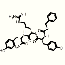 N=C(N)NCCC[C@H](NC(=O)[C@H](Cc1ccc(O)cc1)NC(=O)OCc1ccccc1)C(=O)N[C@@H](Cc1ccc(O)cc1)C(N)=O